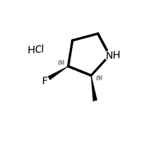 C[C@@H]1NCC[C@@H]1F.Cl